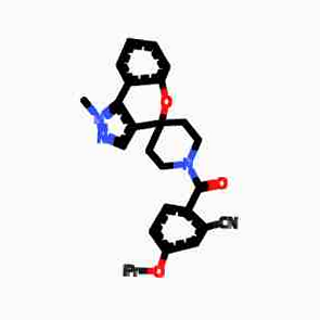 CC(C)Oc1ccc(C(=O)N2CCC3(CC2)Oc2ccccc2-c2c3cnn2C)c(C#N)c1